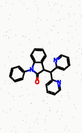 O=C1C(C(c2ccccn2)c2ccccn2)c2ccccc2N1c1ccccc1